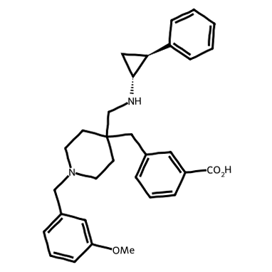 COc1cccc(CN2CCC(CN[C@@H]3C[C@H]3c3ccccc3)(Cc3cccc(C(=O)O)c3)CC2)c1